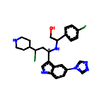 OCC(N[C@H](CC(F)C1CCNCC1)c1c[nH]c2ccc(-n3cnnc3)cc12)c1ccc(F)cc1